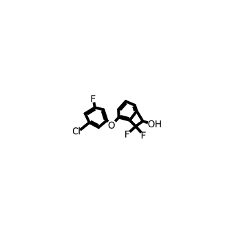 OC1c2cccc(Oc3cc(F)cc(Cl)c3)c2C1(F)F